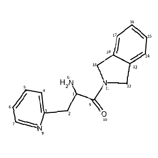 NC(Cc1ccccn1)C(=O)N1Cc2ccccc2C1